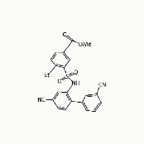 CCc1ccc(C(=O)OC)cc1S(=O)(=O)Nc1cc(C#N)ccc1-c1cccc(C#N)c1